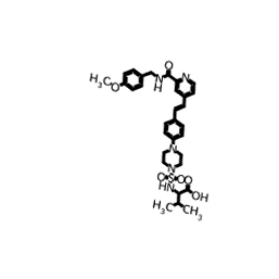 COc1ccc(CNC(=O)c2cc(C=Cc3ccc(N4CCN(S(=O)(=O)NC(C(=O)O)C(C)C)CC4)cc3)ccn2)cc1